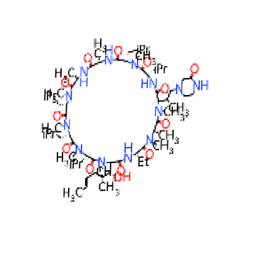 C/C=C/C[C@@H](C)[C@@H](O)[C@H]1C(=O)N[C@@H](CC)C(=O)N(C)[C@H](C)C(=O)N(C)[C@@H]([C@H](C)CN2CCNC(=O)C2)C(=O)N[C@@H](C(C)C)C(=O)N(C)[C@@H](CC(C)C)C(=O)N[C@@H](C)C(=O)N[C@H](C)C(=O)N(C)[C@@H](CC(C)C)C(=O)N(C)[C@@H](CC(C)C)C(=O)N(C)[C@@H](C(C)C)C(=O)N1C